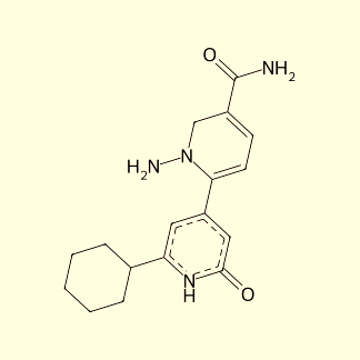 NC(=O)C1=CC=C(c2cc(C3CCCCC3)[nH]c(=O)c2)N(N)C1